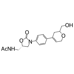 CC(=O)NC[C@H]1CN(c2ccc(C3=CCOC(CO)C3)cc2)C(=O)O1